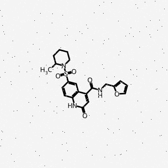 CC1CCCCN1S(=O)(=O)c1ccc2[nH]c(=O)cc(C(=O)NCc3ccco3)c2c1